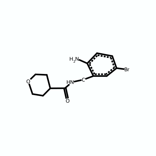 Nc1ccc(Br)cc1CNC(=O)C1CCOCC1